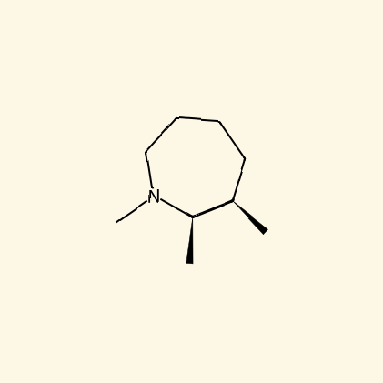 C[C@@H]1CCCCN(C)[C@@H]1C